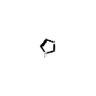 [C]1=CNCS1